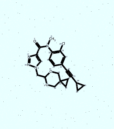 CN(C(=O)c1cn(CC2OCC3(CC3)CO2)nn1)c1ccc(C#CC2CC2)cc1Cl